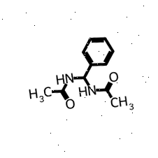 CC(=O)NC(NC(C)=O)c1ccccc1